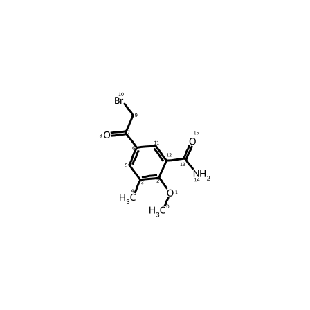 COc1c(C)cc(C(=O)CBr)cc1C(N)=O